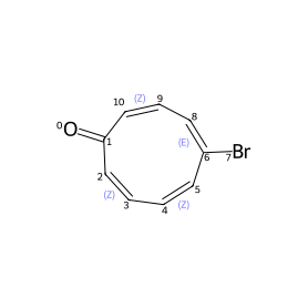 O=C1\C=C/C=C\C(Br)=C/C=C\1